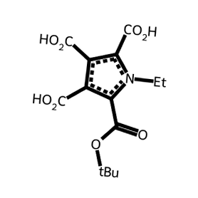 CCn1c(C(=O)O)c(C(=O)O)c(C(=O)O)c1C(=O)OC(C)(C)C